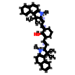 CCN1/C(=C/C=C2\CCCC(/C=C/C3=[N+](CC)c4ccc5ccccc5c4C3(C)C)=C2O)C(C)(C)c2c1ccc1ccccc21